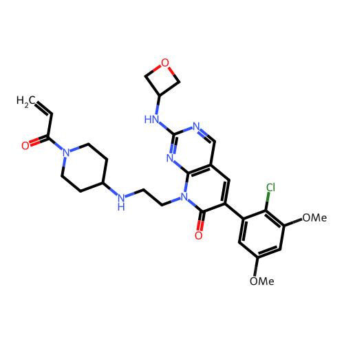 C=CC(=O)N1CCC(NCCn2c(=O)c(-c3cc(OC)cc(OC)c3Cl)cc3cnc(NC4COC4)nc32)CC1